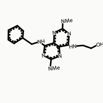 CNc1nc(NCc2ccccc2)c2nc(NC)nc(NCCO)c2n1